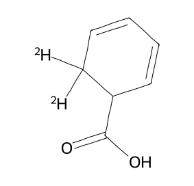 [2H]C1([2H])C=CC=CC1C(=O)O